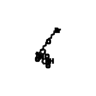 Cn1c(=O)n(C2CCC(=O)NC2=O)c2ccc(CCCOCCCCCBr)cc21